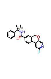 C[C@@H](NC(=O)c1ccc2c(c1)COc1cnc(F)cc1-2)c1ccccc1